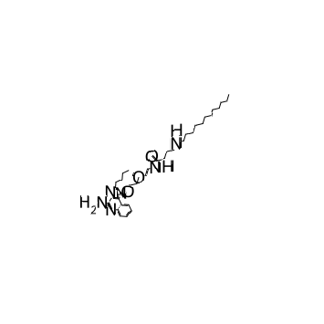 CCCCCCCCCCCCNCCCC(=O)NCCOCCOn1c(CCCC)nc2c(N)nc3ccccc3c21